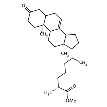 COC(=O)[C@H](C)CCCC(C)[C@H]1CCC2C3=CCC4CC(=O)CC[C@]4(C)C3CC[C@@]21C